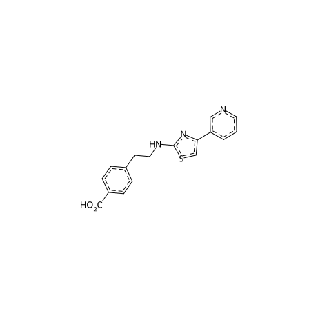 O=C(O)c1ccc(CCNc2nc(-c3cccnc3)cs2)cc1